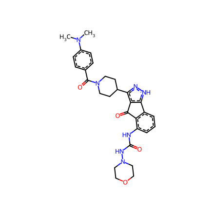 CN(C)c1ccc(C(=O)N2CCC(c3n[nH]c4c3C(=O)c3c(NC(=O)NN5CCOCC5)cccc3-4)CC2)cc1